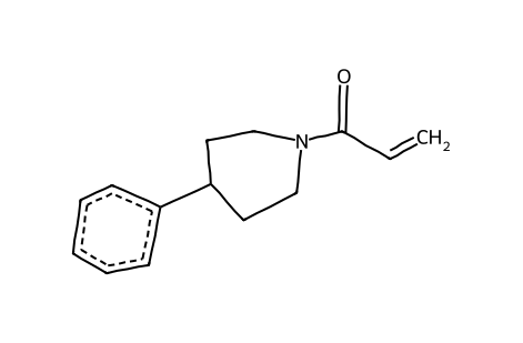 C=CC(=O)N1CCC(c2ccccc2)CC1